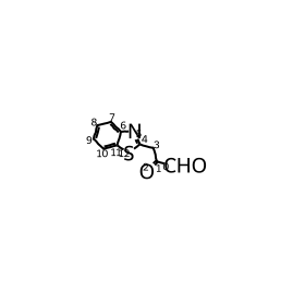 O=CC(=O)Cc1nc2ccccc2s1